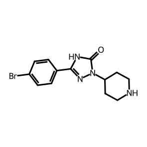 O=c1[nH]c(-c2ccc(Br)cc2)nn1C1CCNCC1